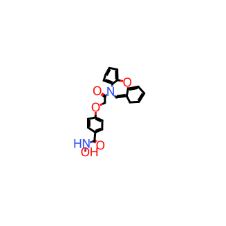 O=C(NO)c1ccc(OCC(=O)N2C=C3CC=CC=C3Oc3ccccc32)cc1